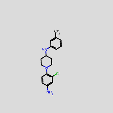 Nc1ccc(N2CCC(Nc3cccc(C(F)(F)F)c3)CC2)c(Cl)c1